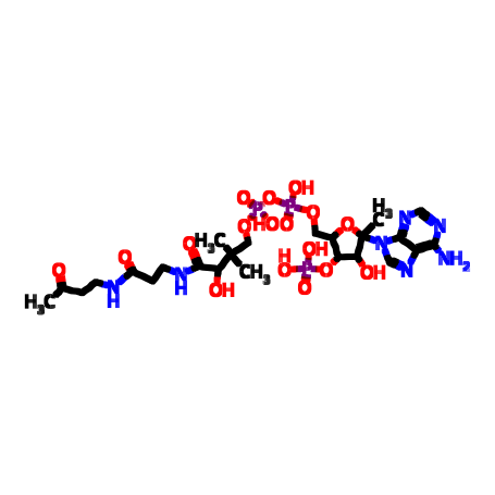 CC(=O)CCNC(=O)CCNC(=O)C(O)C(C)(C)COP(=O)(O)OP(=O)(O)OCC1OC(C)(n2cnc3c(N)ncnc32)C(O)C1OP(=O)(O)O